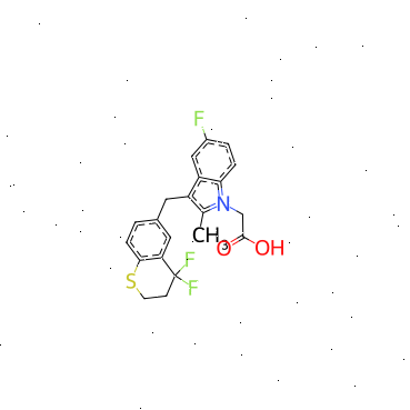 Cc1c(Cc2ccc3c(c2)C(F)(F)CCS3)c2cc(F)ccc2n1CC(=O)O